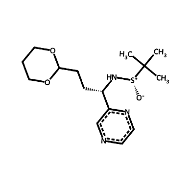 CC(C)(C)[S@+]([O-])N[C@@H](CCC1OCCCO1)c1cnccn1